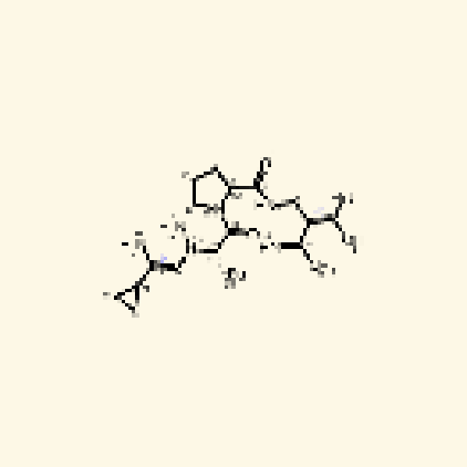 CC/C(O)=C(\CNC(=O)[C@@H]1CCCN1C(=O)[C@@H](N(N)/C=C(\N)C1CC1)C(C)(C)C)C(C)=N